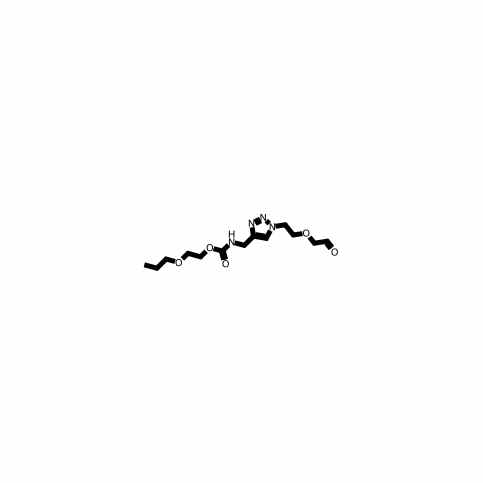 CCCOCCOC(=O)NCc1cn(CCOCC=O)nn1